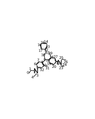 CCN(CC)c1ccc(C(CCc2ccccc2)c2ccc(N(CC)CC)cc2C)c(C)c1